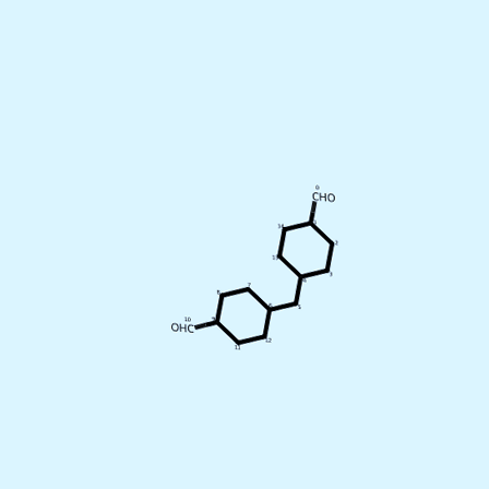 O=CC1CCC(CC2CCC(C=O)CC2)CC1